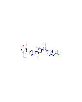 Cc1cc(C(F)(F)F)nn1CC(=O)Nc1cnc(-n2cnc([C@@H]3CS(=O)(=O)CCN3)c2)c(F)c1